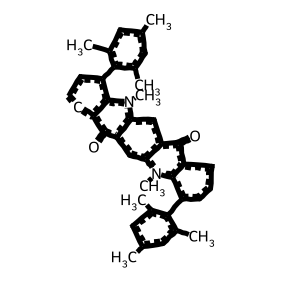 Cc1cc(C)c(-c2cccc3c(=O)c4cc5c(cc4n(C)c23)c(=O)c2cccc(-c3c(C)cc(C)cc3C)c2n5C)c(C)c1